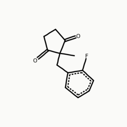 CC1(Cc2ccccc2F)C(=O)CCC1=O